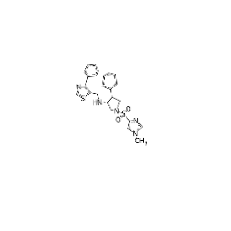 Cn1cnc(S(=O)(=O)N2C[C@H](NCc3scnc3-c3ccccc3)[C@@H](c3ccccc3)C2)c1